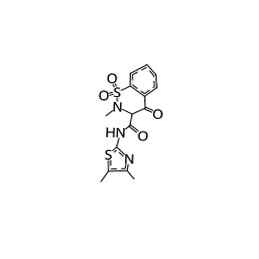 Cc1nc(NC(=O)C2C(=O)c3ccccc3S(=O)(=O)N2C)sc1C